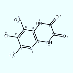 Cc1nc2[nH]c(=O)c(=O)[nH]c2c([N+](=O)[O-])c1Cl